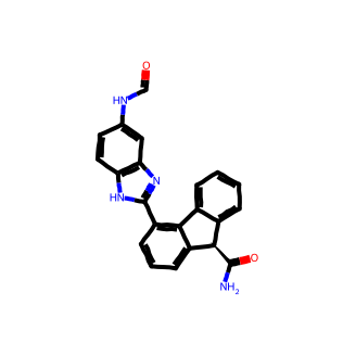 NC(=O)[C@@H]1c2ccccc2-c2c(-c3nc4cc(NC=O)ccc4[nH]3)cccc21